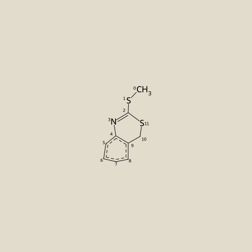 CSC1=Nc2ccccc2CS1